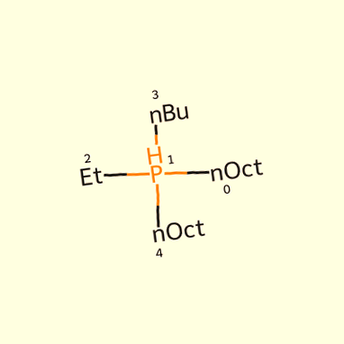 CCCCCCCC[PH](CC)(CCCC)CCCCCCCC